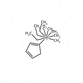 C[CH2][Hf]([CH3])([CH3])([CH3])([CH3])([CH3])([CH2]C)([CH2]C)[C]1=CC=CC1